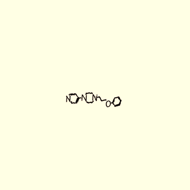 C1=C=CC(OCCCN2CCN(c3ccncc3)CC2)=CC=1